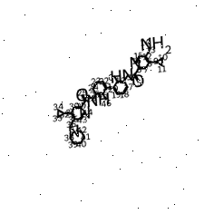 Cc1c(NC(=O)c2cc(C3CC3)c(CN)cn2)cccc1-c1cccc(NC(=O)c2cc(C3CC3)c(CN3CCCCC3)cn2)c1C